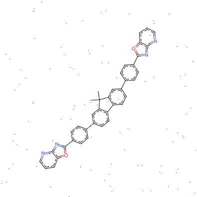 CC1(C)c2cc(-c3ccc(-c4nc5ncccc5o4)cc3)ccc2-c2ccc(-c3ccc(-c4nc5ncccc5o4)cc3)cc21